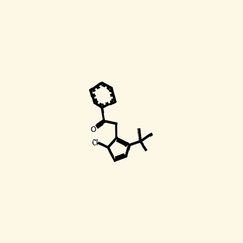 CC(C)(C)C1=C(CC(=O)c2ccccc2)C(Cl)C=C1